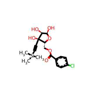 C[Si](C)(C)C#C[C@@]1(O)[C@@H](COC(=O)c2ccc(Cl)cc2)O[C@H](O)[C@@H]1O